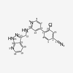 N#Cc1ccc(-c2ccnc(NCc3n[nH]c4ncccc34)c2)c(Cl)c1